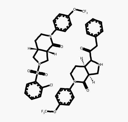 O=C(Cc1ccccc1)C1NC[C@H]2C(=O)N(c3ccc(OC(F)(F)F)cc3)CC[C@@H]12.O=C1[C@@H]2CN(S(=O)(=O)c3ccccc3Cl)C[C@@H]2CCN1c1ccc(OC(F)(F)F)cc1